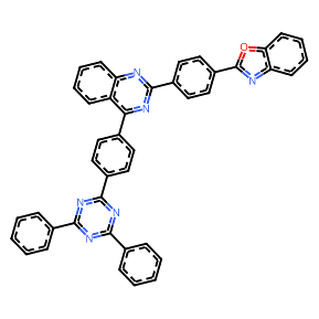 c1ccc(-c2nc(-c3ccccc3)nc(-c3ccc(-c4nc(-c5ccc(-c6nc7ccccc7o6)cc5)nc5ccccc45)cc3)n2)cc1